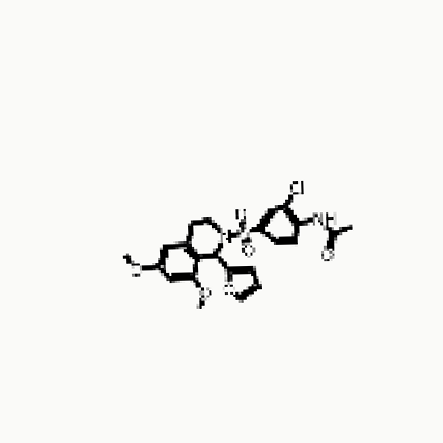 COc1cc2c(c(OC)c1)C(c1ccco1)N(S(=O)(=O)c1ccc(NC(C)=O)c(Cl)c1)CC2